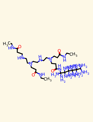 CCNC(=O)CCNCCN(CCNCCN(CCC(=O)NCC)CCC(=O)NC(N)(N)C(N)(N)C(N)(N)C(N)(N)C(N)(N)C(N)N)CCC(=O)NCC